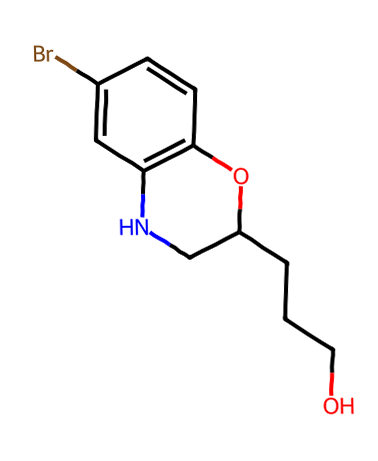 OCCCC1CNc2cc(Br)ccc2O1